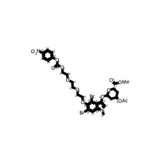 COC(=O)[C@@H]1CC(OC(C)=O)CC(Oc2cn(C)c3cc(Br)c(OCCOCCOCCOC(=O)Oc4ccc([N+](=O)[O-])cc4)c(Br)c23)O1